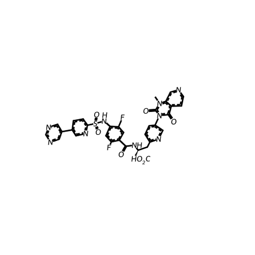 Cn1c(=O)n(-c2ccc(C[C@H](NC(=O)c3cc(F)c(NS(=O)(=O)c4ccc(-c5cncnc5)cn4)cc3F)C(=O)O)nc2)c(=O)c2ccncc21